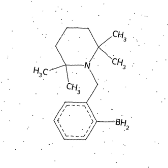 Bc1ccccc1CN1C(C)(C)CCCC1(C)C